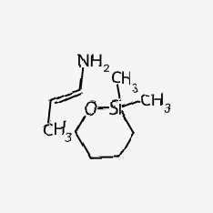 CC=CN.C[Si]1(C)CCCCO1